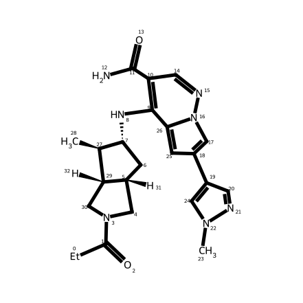 CCC(=O)N1C[C@H]2C[C@@H](Nc3c(C(N)=O)cnn4cc(-c5cnn(C)c5)cc34)[C@H](C)[C@H]2C1